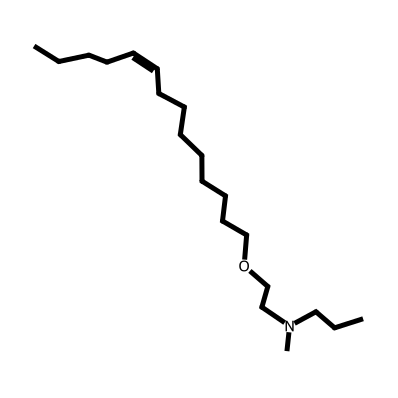 CCCC/C=C\CCCCCCCCOCCN(C)CCC